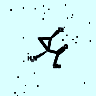 CC[C@@H]1C[C@]1(N)C(=O)C(C)(C)C